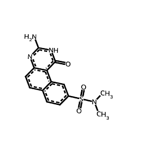 CN(C)S(=O)(=O)c1ccc2ccc3nc(N)[nH]c(=O)c3c2c1